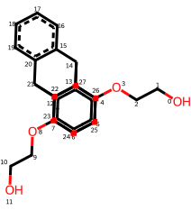 OCCOc1ccc(OCCO)c2c1C1c3ccccc3C2c2ccccc21